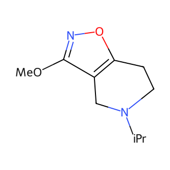 COc1noc2c1CN(C(C)C)CC2